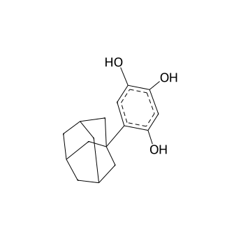 Oc1cc(O)c(C23CC4CC(CC(C4)C2)C3)cc1O